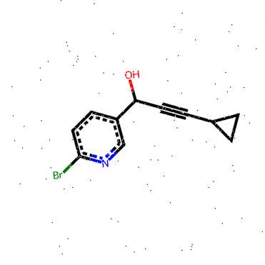 OC(C#CC1CC1)c1ccc(Br)nc1